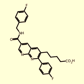 O=C(O)CCCCc1cc2cc(C(=O)NCc3ccc(F)cc3)cnc2nc1-c1ccc(F)cc1